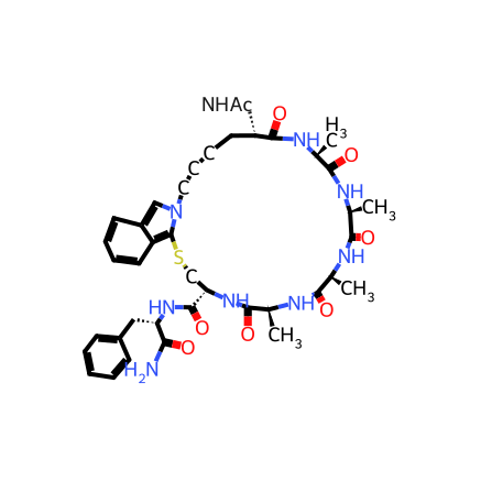 CC(=O)N[C@H]1CCCCn2cc3ccccc3c2SC[C@@H](C(=O)N[C@@H](Cc2ccccc2)C(N)=O)NC(=O)[C@H](C)NC(=O)[C@H](C)NC(=O)[C@H](C)NC(=O)[C@H](C)NC1=O